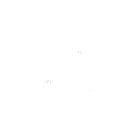 C=C(O)Cc1cc(=O)cc[nH]1